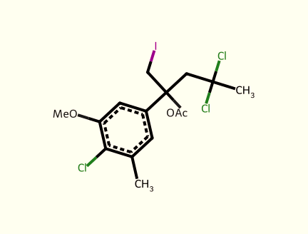 COc1cc(C(CI)(CC(C)(Cl)Cl)OC(C)=O)cc(C)c1Cl